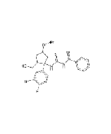 CC(C)OC1CC(CO)C(NC(=S)NC(=O)c2ccccc2)(c2ccc(F)c(Br)c2)C1